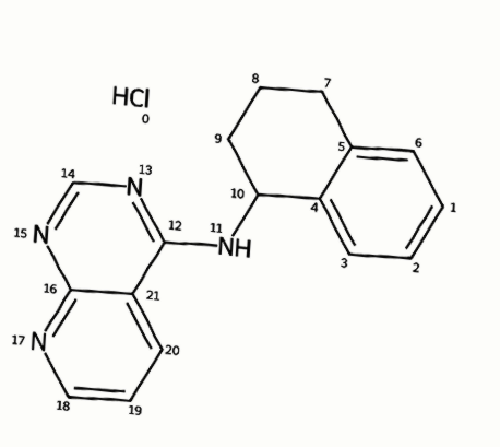 Cl.c1ccc2c(c1)CCCC2Nc1ncnc2ncccc12